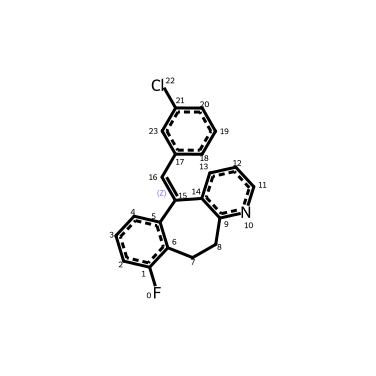 Fc1cccc2c1CCc1ncccc1/C2=C\c1cccc(Cl)c1